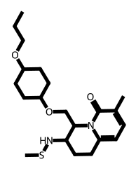 CCCOC1CCC(OCC2C(NSC)CCc3ccc(C)c(=O)n32)CC1